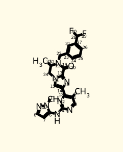 Cc1cnc(Nc2ccnn2C)nc1-c1cn2c(n1)C(=O)N(Cc1cccc(C(F)F)c1)C(C)C2